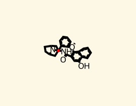 COc1c(C(=O)NC2CC3CCC(C2)N3Cc2ccccc2)cc(O)c2ccccc12